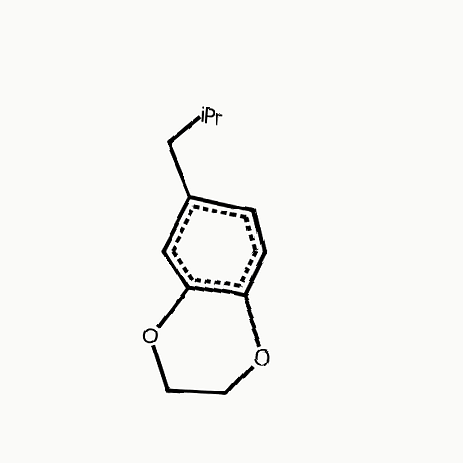 CC(C)Cc1ccc2c(c1)OCCO2